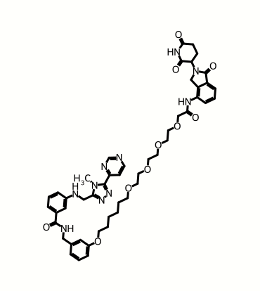 Cn1c(CNc2cccc(C(=O)NCc3cccc(OCCCCCCOCCOCCOCCOCC(=O)Nc4cccc5c4CN(C4CCC(=O)NC4=O)C5=O)c3)c2)nnc1-c1ccncn1